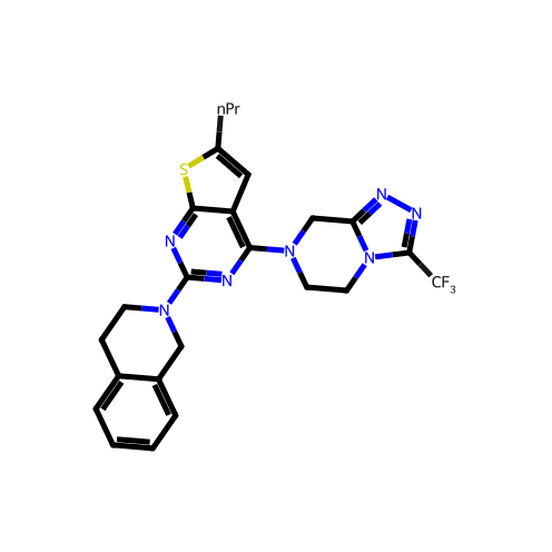 CCCc1cc2c(N3CCn4c(nnc4C(F)(F)F)C3)nc(N3CCc4ccccc4C3)nc2s1